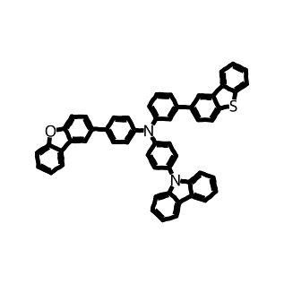 c1cc(-c2ccc3sc4ccccc4c3c2)cc(N(c2ccc(-c3ccc4oc5ccccc5c4c3)cc2)c2ccc(-n3c4ccccc4c4ccccc43)cc2)c1